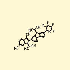 N#CC(C#N)=C1C(c2ccc3c(c2)C(=C(C#N)C#N)c2cc(-c4nc(F)c(F)c(F)c4F)ccc2-3)=C(C#N)c2ccc(C#N)cc21